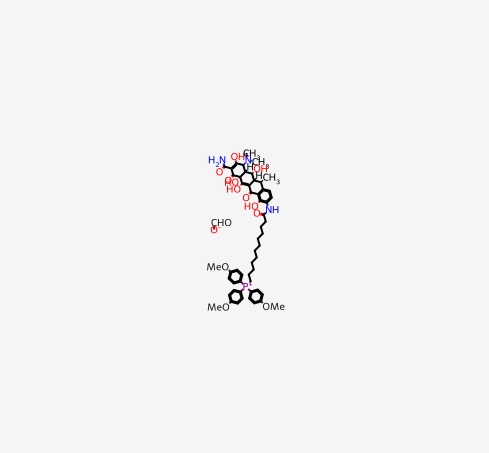 COc1ccc([P+](CCCCCCCCCCCC(=O)Nc2ccc3c(c2O)C(=O)C2=C(O)[C@]4(O)C(=O)C(C(N)=O)=C(O)[C@@H](N(C)C)[C@@H]4[C@@H](O)[C@@H]2[C@H]3C)(c2ccc(OC)cc2)c2ccc(OC)cc2)cc1.O=C[O-]